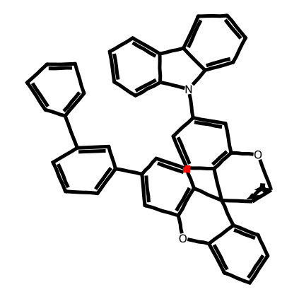 c1ccc(-c2cccc(-c3ccc4c(c3)Oc3ccccc3C43c4ccccc4Oc4cc(-n5c6ccccc6c6ccccc65)ccc43)c2)cc1